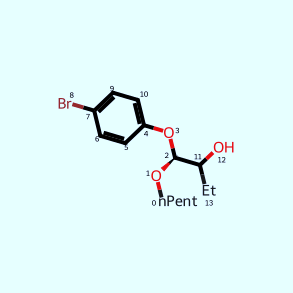 CCCCCO[C@@H](Oc1ccc(Br)cc1)C(O)CC